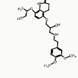 COc1ccc(CCNCC(O)COc2ccc(OC(C)CO)c3c2CCC(=O)N3)cc1OC